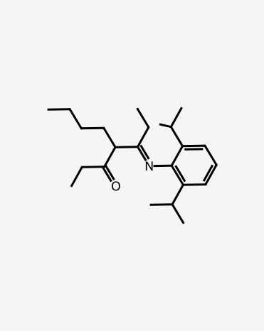 CCCCC(C(=O)CC)C(CC)=Nc1c(C(C)C)cccc1C(C)C